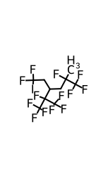 CC(F)(CC(CC(F)(F)I)C(F)(C(F)(F)F)C(F)(F)F)C(F)(F)F